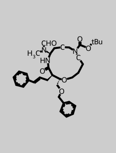 CN(C=O)[C@H]1CCCN(C(=O)OC(C)(C)C)CCCCO[C@H](COCc2ccccc2)[C@@H](C/C=C/c2ccccc2)C(=O)N1